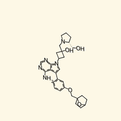 Nc1ncnc2c1c(-c1cccc(OCC34CCC(CC3)O4)c1)cn2C1CC(O)(CN2CCC[C@@H]2CO)C1